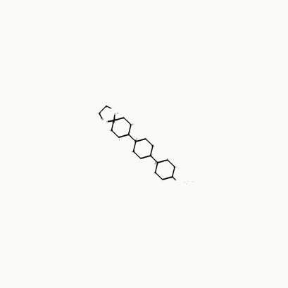 COC1CCC(C2CCC(C3CCC4(CC3)OCCO4)CC2)CC1